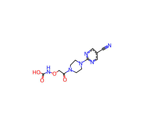 N#Cc1cnc(N2CCN(C(=O)CONC(=O)O)CC2)nc1